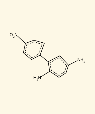 Nc1ccc(N)c(-c2ccc([N+](=O)[O-])cc2)c1